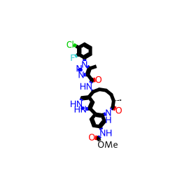 COC(=O)Nc1ccc2c(c1)NC(=O)[C@@H](C)CCC[C@H](NC(=O)c1nnn(-c3cccc(Cl)c3F)c1C)C1=CNNC2=C1